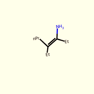 CCCC(CC)=C(N)CC